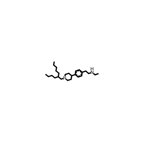 CCCCCC(CCCC)CN1CCC(c2ccc(CCNCC)cc2)CC1